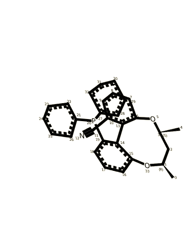 C[C@@H]1C[C@H](C)Oc2cccc(C#N)c2-c2c(cccc2P(c2ccccc2)c2ccccc2)O1